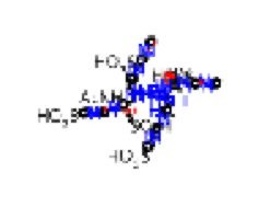 CCCOc1cc(N=Nc2ccc(N=Nc3ccccc3)cc2S(=O)(=O)O)c(C)cc1Nc1nc(NCCNc2nc(Cc3ccc(N=Nc4ccc(N=Nc5ccccc5)cc4S(=O)(=O)O)c(C)c3)nc(Cc3cc(NC(C)=O)c(N=Nc4ccc(N=Nc5ccc(S(=O)(=O)O)cc5)cc4)cc3OCCCS(=O)(=O)O)n2)nc(Nc2ccc(N=Nc3ccc(N=Nc4ccc(S(=O)(=O)O)cc4)cc3)c(C)c2)n1